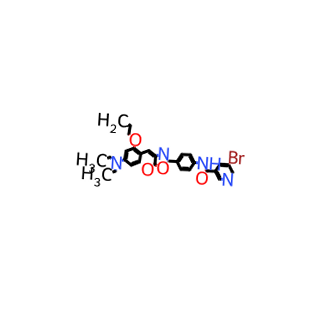 C=CCOc1cc(N(CC)CC)ccc1/C=C1/N=C(c2ccc(NC(=O)c3cncc(Br)c3)cc2)OC1=O